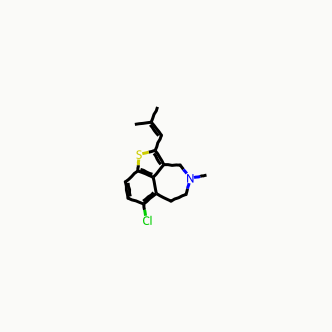 CC(C)=Cc1sc2ccc(Cl)c3c2c1CN(C)CC3